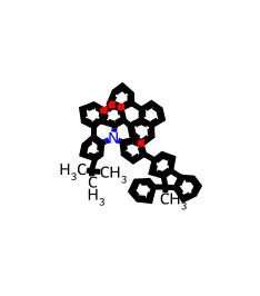 CC(C)(C)c1ccc(-c2ccccc2)c(N(c2ccc(-c3ccc4c(c3)C(C)(c3ccccc3)c3ccccc3-4)cc2)c2ccccc2-c2cccc3cccc(-c4ccccc4)c23)c1